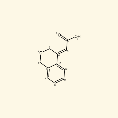 O=C(O)C=C1COCc2ccccc21